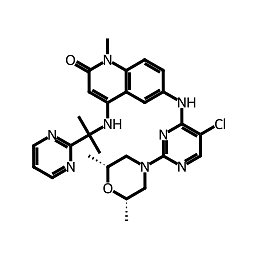 C[C@@H]1CN(c2ncc(Cl)c(Nc3ccc4c(c3)c(NC(C)(C)c3ncccn3)cc(=O)n4C)n2)C[C@H](C)O1